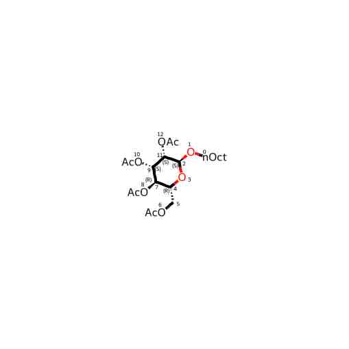 CCCCCCCCO[C@H]1O[C@H](COC(C)=O)[C@@H](OC(C)=O)[C@H](OC(C)=O)[C@@H]1OC(C)=O